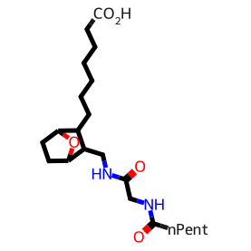 CCCCCC(=O)NCC(=O)NCC1C2CCC(O2)C1CCCCCCC(=O)O